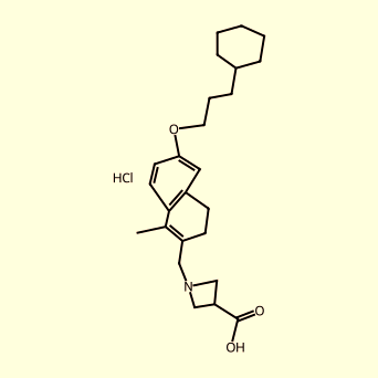 CC1=C(CN2CC(C(=O)O)C2)CCc2cc(OCCCC3CCCCC3)ccc21.Cl